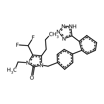 CCCc1c(C(F)F)n(CC)c(=O)n1Cc1ccc(-c2ccccc2-c2nnn[nH]2)cc1